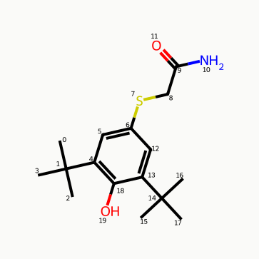 CC(C)(C)c1cc(SCC(N)=O)cc(C(C)(C)C)c1O